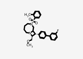 COC[C@@H]1[C@@H](c2ccc(-c3cccc(F)c3)cc2)C2CN(S(=O)(=O)c3ccccc3C)CCCCN21